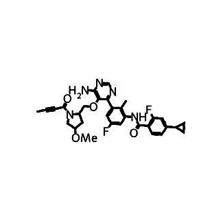 CC#CC(=O)N1CC(OC)CC1COc1c(N)ncnc1-c1cc(F)cc(NC(=O)c2ccc(C3CC3)cc2F)c1C